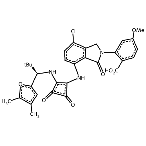 COc1ccc(C(=O)O)c(N2Cc3c(Cl)ccc(Nc4c(N[C@@H](c5cc(C)c(C)o5)C(C)(C)C)c(=O)c4=O)c3C2=O)c1